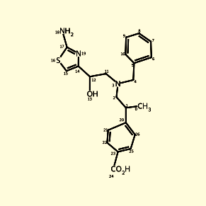 CC(CN(Cc1ccccc1)CC(O)c1csc(N)n1)c1ccc(C(=O)O)cc1